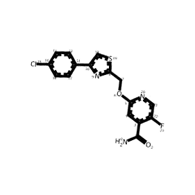 NC(=O)c1cc(OCc2nc(-c3ccc(Cl)cc3)cs2)ncc1F